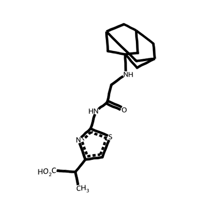 CC(C(=O)O)c1csc(NC(=O)CNC23CC4CC(CC(C4)C2)C3)n1